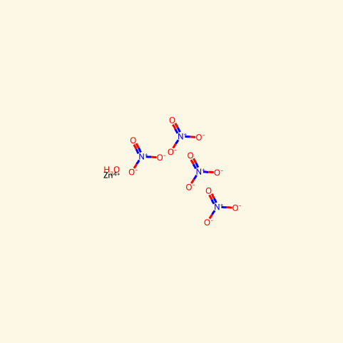 O.O=[N+]([O-])[O-].O=[N+]([O-])[O-].O=[N+]([O-])[O-].O=[N+]([O-])[O-].[Zn+4]